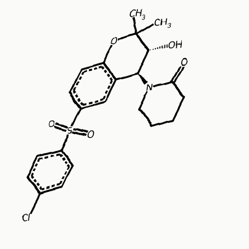 CC1(C)Oc2ccc(S(=O)(=O)c3ccc(Cl)cc3)cc2[C@H](N2CCCCC2=O)[C@H]1O